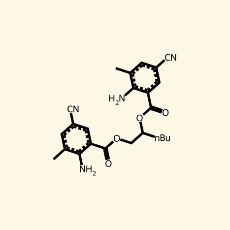 CCCCC(COC(=O)c1cc(C#N)cc(C)c1N)OC(=O)c1cc(C#N)cc(C)c1N